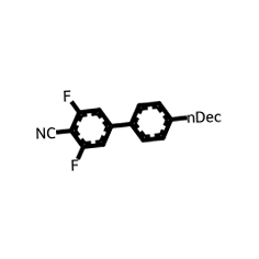 CCCCCCCCCCc1ccc(-c2cc(F)c(C#N)c(F)c2)cc1